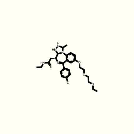 CCNC(=O)C[C@@H]1N=C(c2ccc(Cl)cc2)c2cc(OCCOCCOCC)ccc2N2C(C)NNC12